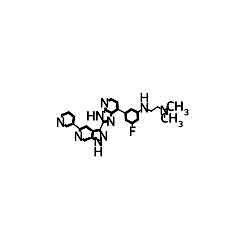 CN(C)CCNc1cc(F)cc(-c2ccnc3[nH]c(-c4n[nH]c5cnc(-c6cccnc6)cc45)nc23)c1